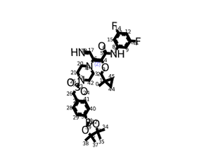 CC1(CO/C(C(=O)Nc2cc(F)cc(F)c2)=C(/C=N)N2CCN(S(=O)(=O)Cc3ccc(B4OC(C)(C)C(C)(C)O4)cc3)CC2)CC1